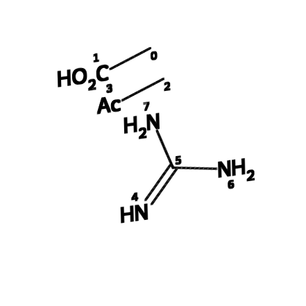 CC(=O)O.CC(C)=O.N=C(N)N